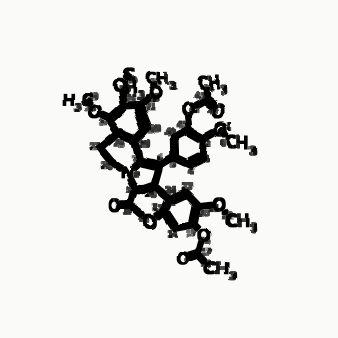 COc1ccc(-c2c3n(c4c(=O)oc5cc(OC(C)=O)c(OC)cc5c24)CCc2c-3cc(OC)c(OC)c2OC)cc1OC(C)=O